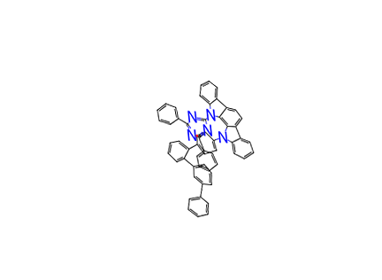 c1ccc(-c2cccc(-c3ccccc3-c3ccc(-n4c5ccccc5c5ccc6c7ccccc7n(-c7nc(-c8ccccc8)nc(-c8ccccc8)n7)c6c54)cc3)c2)cc1